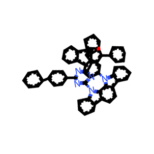 c1ccc(-c2ccc(-c3nc(-c4cccc(-c5ccccc5)c4)nc(-n4c5ccccc5c5ccc6c7ccccc7n(-c7ccc8c9ccccc9c9ccccc9c8c7)c6c54)n3)cc2)cc1